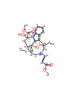 CCCCO[C@H]1c2c3c4ccccc4n2[C@@](O)(C(=O)OC)C[C@]1(CC)CCCN(/C=C/C(=O)OC)CC3